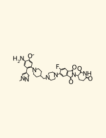 COc1cc(N2CCC(CN3CCN(c4cc5c(cc4F)C(=O)N(C4CCC(=O)NC4=O)C5=O)CC3)CC2)c(-c2cnn(C)c2)cc1N